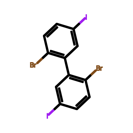 Brc1ccc(I)cc1-c1cc(I)ccc1Br